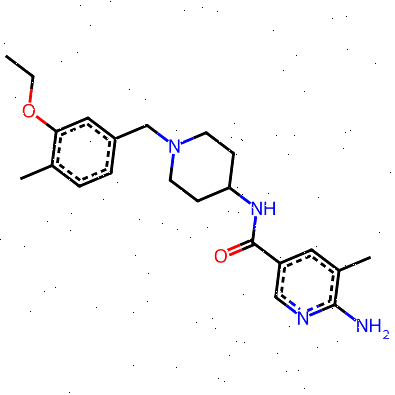 CCOc1cc(CN2CCC(NC(=O)c3cnc(N)c(C)c3)CC2)ccc1C